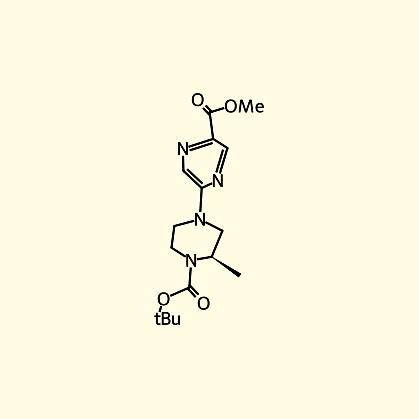 COC(=O)c1cnc(N2CCN(C(=O)OC(C)(C)C)[C@H](C)C2)cn1